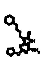 Nc1nc(OC2CCCC2)nc2c1[nH]c(=O)n2CCCCN1CCCCC1